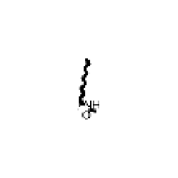 CCCCCCCCC[C@@H](C)NC(C)=O